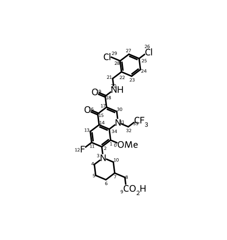 COc1c(N2CCCC(CC(=O)O)C2)c(F)cc2c(=O)c(C(=O)NCc3ccc(Cl)cc3Cl)cn(CC(F)(F)F)c12